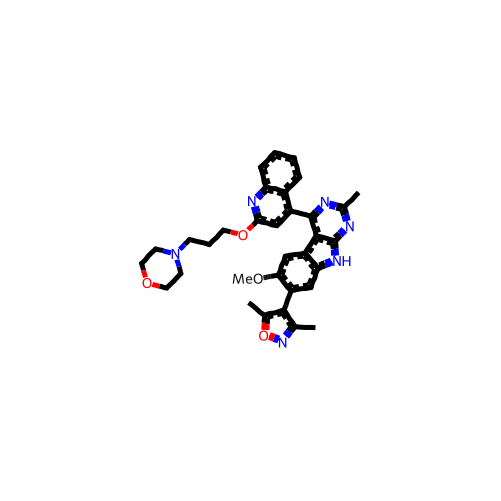 COc1cc2c(cc1-c1c(C)noc1C)[nH]c1nc(C)nc(-c3cc(OCCCN4CCOCC4)nc4ccccc34)c12